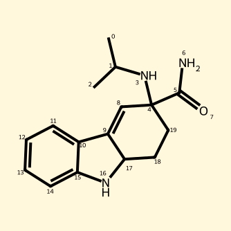 CC(C)NC1(C(N)=O)C=C2c3ccccc3NC2CC1